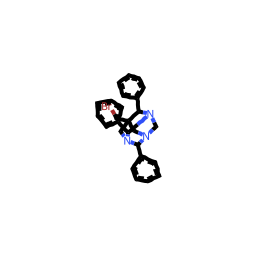 BrCC12CN3CN(C(c4ccccc4)N(C1)C3c1ccccc1)C2c1ccccc1